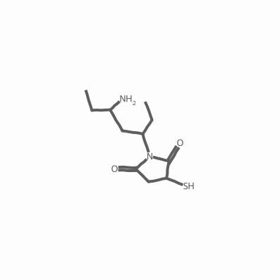 CCC(N)CC(CC)N1C(=O)CC(S)C1=O